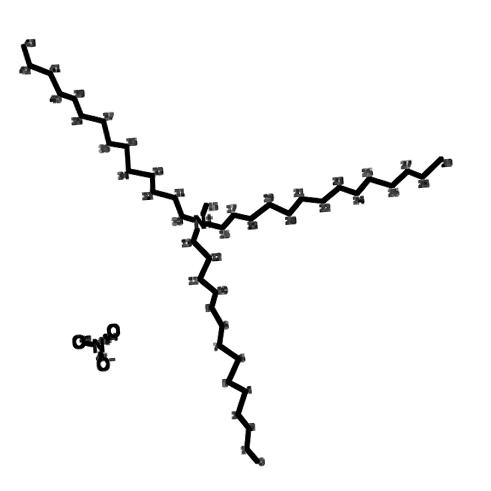 CCCCCCCCCCCCCC[N+](C)(CCCCCCCCCCCCCC)CCCCCCCCCCCCCC.O=[N+]([O-])[O-]